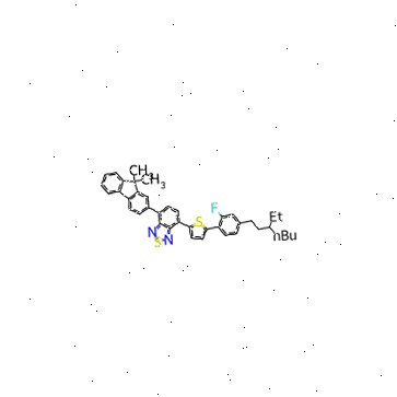 CCCCC(CC)CCc1ccc(-c2ccc(-c3ccc(-c4ccc5c(c4)C(C)(C)c4ccccc4-5)c4nsnc34)s2)c(F)c1